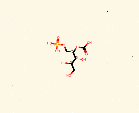 O=C(O)O[C@H](COP(=O)(O)O)[C@H](O)[C@H](O)CO